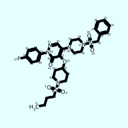 CCCCS(=O)(=O)N1CCC(Oc2c(N3CCN(S(=O)(=O)Cc4ccccc4)CC3)cnn(-c3ccc(F)cc3)c2=O)CC1